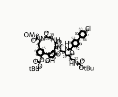 COC(=O)[C@@H]1Cc2ccc(OC(=O)OC(C)(C)C)c(c2)-c2cc(ccc2O)[C@H](N(C)C(=O)[C@H](CCCCNC(=O)OC(C)(C)C)NC(=O)c2ccc(-c3ccc(Cl)cc3)cc2)C(=O)N[C@@H](C)C(=O)N1